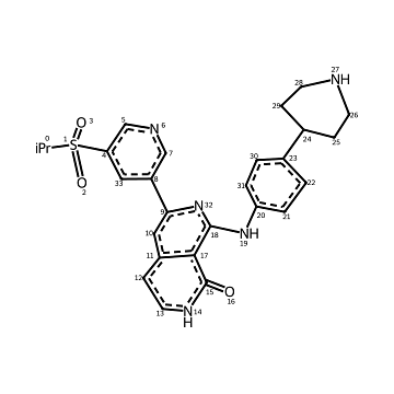 CC(C)S(=O)(=O)c1cncc(-c2cc3cc[nH]c(=O)c3c(Nc3ccc(C4CCNCC4)cc3)n2)c1